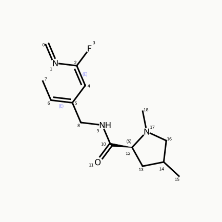 C=N/C(F)=C\C(=C/C)CNC(=O)[C@@H]1CC(C)CN1C